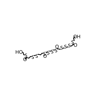 O=C(CCSCSCCC[S+]([O-])CSCSCSC(=O)CSCSCSCC(=O)SCCO)SCCO